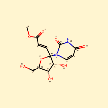 COC(=O)C=C[C@@]1(n2ccc(=O)[nH]c2=O)O[C@H](CO)[C@@H](O)[C@H]1O